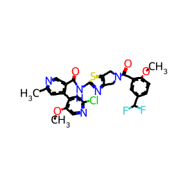 COc1ccc(C(F)F)cc1C(=O)N1Cc2nc(NC(=O)c3cnc(C)cc3-c3cc(Cl)ncc3OC)sc2C1